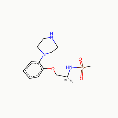 C[C@H](COc1ccccc1N1CCNCC1)NS(C)(=O)=O